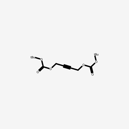 CC(C)(C)OC(=O)OCC#CCOC(=O)OC(C)(C)C